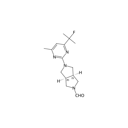 Cc1cc(C(C)(C)F)nc(N2C[C@H]3CN(C=O)C[C@H]3C2)n1